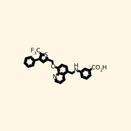 O=C(O)c1cccc(NCc2ccc(OCc3cc(-c4ccccc4)c(C(F)(F)F)s3)c3ncccc23)c1